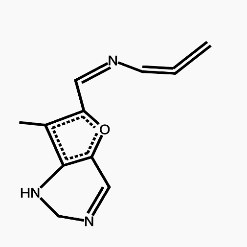 C=C=C/N=C\c1oc2c(c1C)NCN=C2